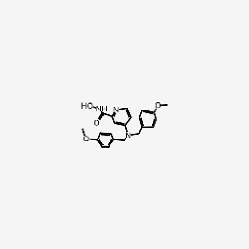 COc1ccc(CN(Cc2ccc(OC)cc2)c2ccnc(C(=O)NO)c2)cc1